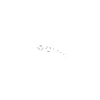 N#Cc1ccc(-c2ccc3c(NC(=O)CCC4CCCC4)n[nH]c3c2)cc1